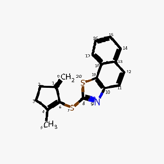 C=C1CCC(C)=C1Sc1nc2ccc3ccccc3c2s1